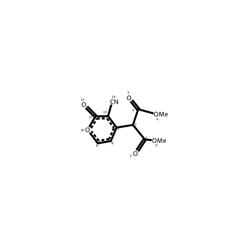 COC(=O)C(C(=O)OC)c1ccoc(=O)c1C#N